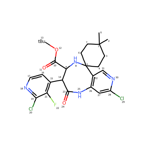 CC1(C)CCC2(CC1)NC(C(=O)OC(C)(C)C)C(c1ccnc(Cl)c1F)C(=O)Nc1cc(Cl)ncc12